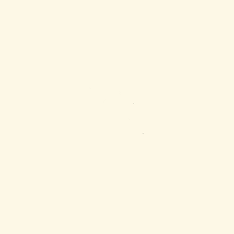 FC1=CC(F)CC=C1Br